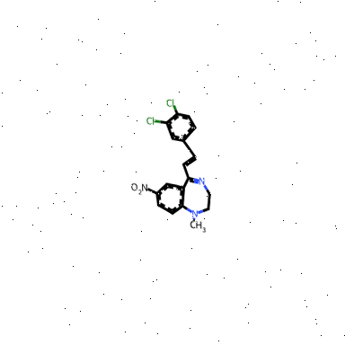 CN1CCN=C(/C=C/c2ccc(Cl)c(Cl)c2)c2cc([N+](=O)[O-])ccc21